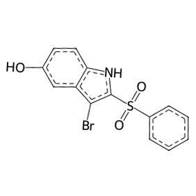 O=S(=O)(c1ccccc1)c1[nH]c2ccc(O)cc2c1Br